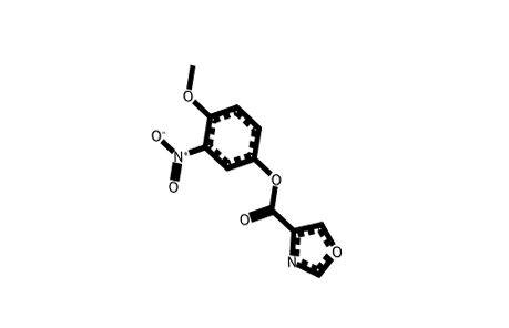 COc1ccc(OC(=O)c2cocn2)cc1[N+](=O)[O-]